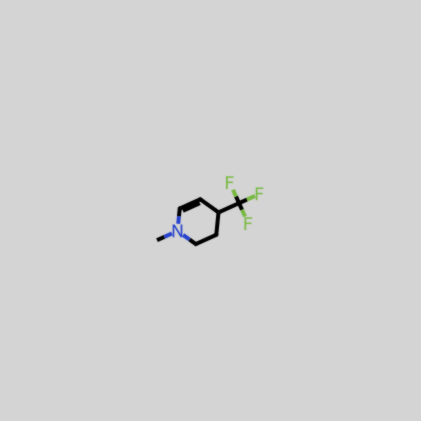 CN1C=CC(C(F)(F)F)CC1